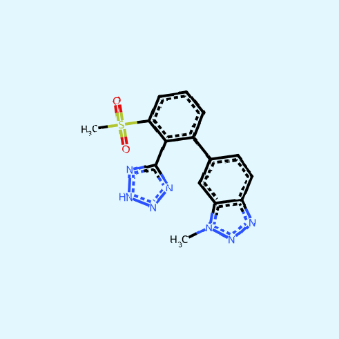 Cn1nnc2ccc(-c3cccc(S(C)(=O)=O)c3-c3nn[nH]n3)cc21